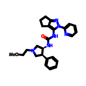 COCCN1C[C@H](NC(=O)Nc2c3c(nn2-c2ccccn2)CCC3)[C@@H](c2ccccc2)C1